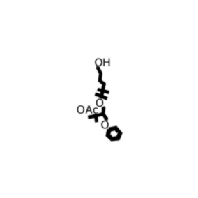 CC(=O)OC(C)(C)C(COc1ccccc1)COC(C)(C)C(C)(C)CCCCO